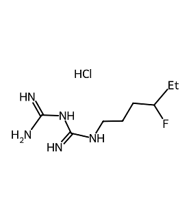 CCC(F)CCCNC(=N)NC(=N)N.Cl